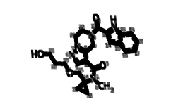 CN(C(=O)c1cnn2c1CN(C(=O)c1cc3ccccc3[nH]1)CC2)C1(COCCCO)CC1